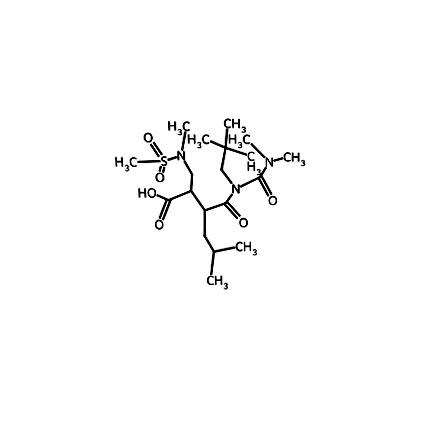 CC(C)CC(C(=O)N(CC(C)(C)C)C(=O)N(C)C)C(CN(C)S(C)(=O)=O)C(=O)O